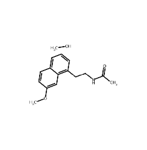 CO.COc1ccc2cccc(CCNC(C)=O)c2c1